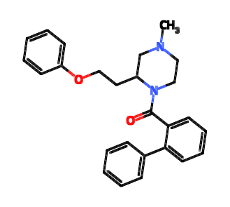 CN1CCN(C(=O)c2ccccc2-c2ccccc2)C(CCOc2ccccc2)C1